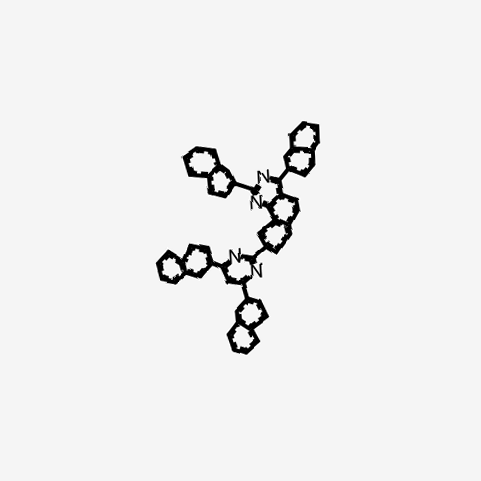 c1ccc2cc(-c3cc(-c4ccc5ccccc5c4)nc(-c4ccc5ccc6c(-c7ccc8ccccc8c7)nc(-c7ccc8ccccc8c7)nc6c5c4)n3)ccc2c1